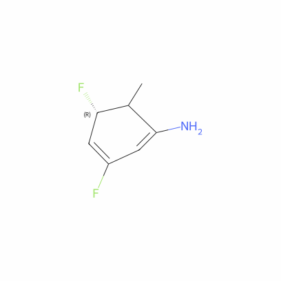 CC1C(N)=CC(F)=C[C@@H]1F